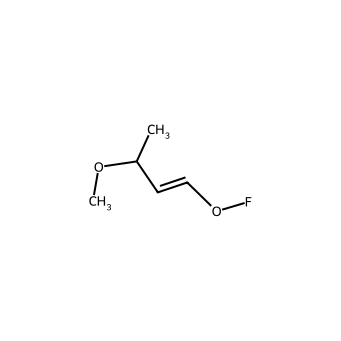 COC(C)C=COF